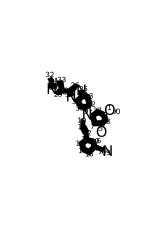 COc1cc(OC)cc(N(CC#Cc2cccc(C#N)c2)c2ccc3ncc(-c4cnn(C)c4)nc3c2)c1